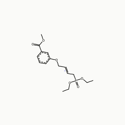 CCOP(=O)(C/C=C/COc1cccc(C(=O)OC)c1)OCC